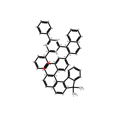 CC1(C)c2ccccc2-c2c1ccc1ccc3ccc4cc(-c5ccc6ccccc6c5-c5nc(-c6ccccc6)nc(-c6ccccc6)n5)ccc4c3c21